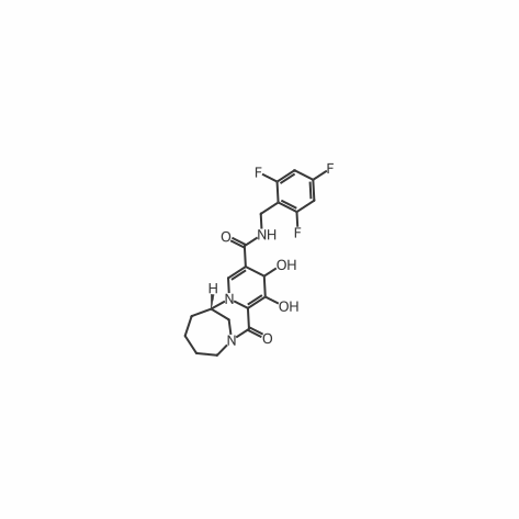 O=C(NCc1c(F)cc(F)cc1F)C1=CN2C(=C(O)C1O)C(=O)N1CCCC[C@H]2C1